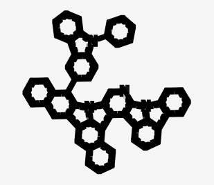 c1ccc(-n2c3ccccc3c3cc(-c4c5ccccc5cc5c6cc7ccccc7c7c8c9c%10cccc%11c%12ccccc%12n(c9ncc8n(c45)c67)c%11%10)ccc32)cc1